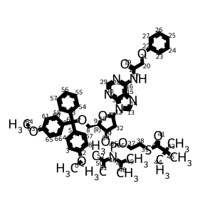 COc1ccc(C(OC[C@H]2O[C@@H](n3cnc4c(NC(=O)COc5ccccc5)ncnc43)C[C@H]2OP(OCCSC(=O)C(C)(C)C)N(C(C)C)C(C)C)(c2ccccc2)c2ccc(OC)cc2)cc1